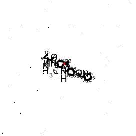 Cc1c(NC(=O)C2(C#N)CC2)cccc1Nc1ccc(OCc2ccccn2)cc1C1CC1